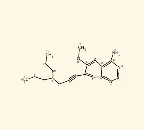 CCCN(CC#Cc1cc2ncnc(N)c2cc1OC)CCC